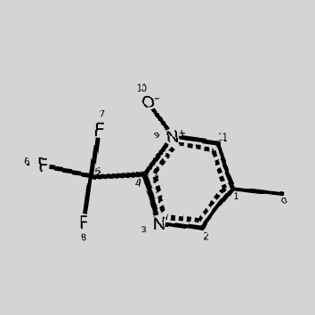 Cc1cnc(C(F)(F)F)[n+]([O-])c1